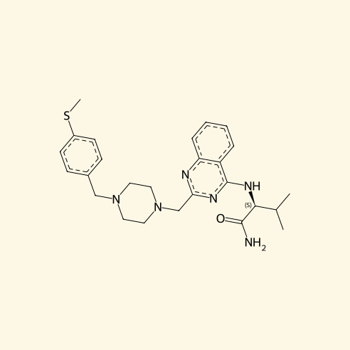 CSc1ccc(CN2CCN(Cc3nc(N[C@H](C(N)=O)C(C)C)c4ccccc4n3)CC2)cc1